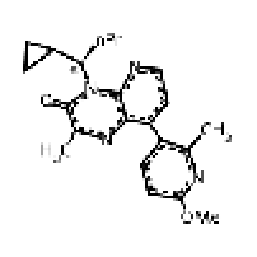 CCC[C@H](C1CC1)n1c(=O)c(C)nc2c(-c3ccc(OC)nc3C)ccnc21